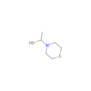 CC(S)N1CCSCC1